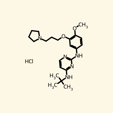 COc1ccc(Nc2nccc(NC(C)(C)C)n2)cc1OCCCN1CCCC1.Cl